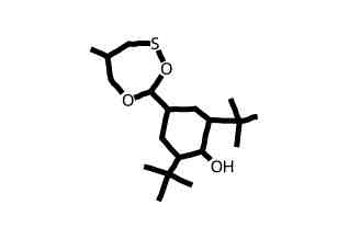 CC1COC(C2CC(C(C)(C)C)C(O)C(C(C)(C)C)C2)OSC1